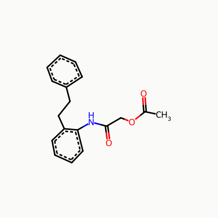 CC(=O)OCC(=O)Nc1ccccc1CCc1ccccc1